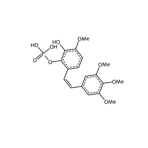 COc1ccc(/C=C\c2cc(OC)c(OC)c(OC)c2)c(OP(=O)(O)O)c1O